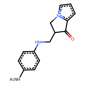 CC(=O)Nc1ccc(NCC2Cn3cccc3C2=O)cc1